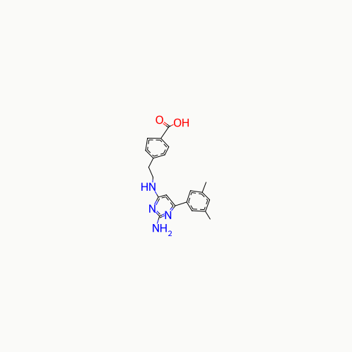 Cc1cc(C)cc(-c2cc(NCCc3ccc(C(=O)O)cc3)nc(N)n2)c1